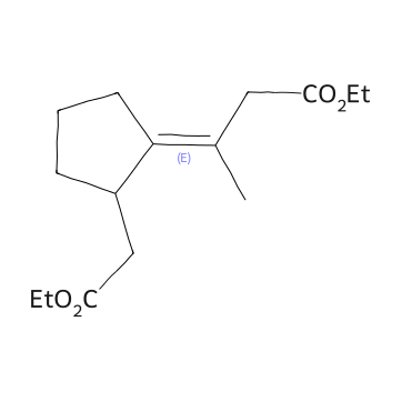 CCOC(=O)C/C(C)=C1\CCCC1CC(=O)OCC